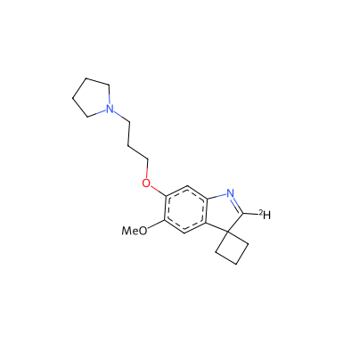 [2H]C1=Nc2cc(OCCCN3CCCC3)c(OC)cc2C12CCC2